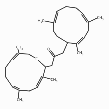 CC1=CCCC=C(C)CCC(CC(=O)CC2CCC(C)=CCCC=C(C)CC=C2C)C(C)=CC1